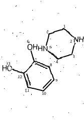 C1CNCCN1.Oc1ccccc1O